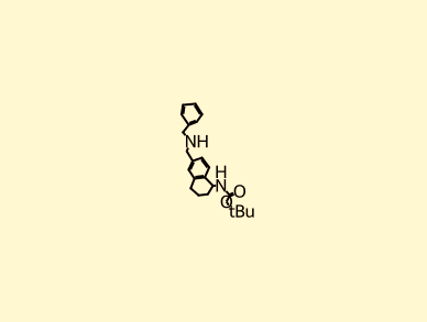 CC(C)(C)OC(=O)NC1CCCc2cc(CNCc3ccccc3)ccc21